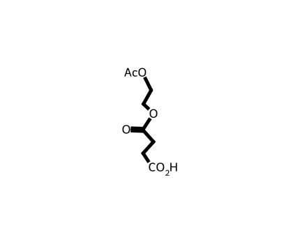 CC(=O)OCCOC(=O)CCC(=O)O